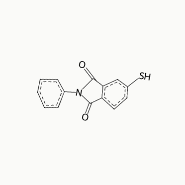 O=C1c2ccc(S)cc2C(=O)N1c1ccccc1